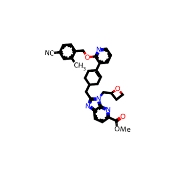 COC(=O)c1ccc2nc(CC3CC=C(c4cccnc4OCc4ccc(C#N)cc4C)CC3)n(CC3CCO3)c2n1